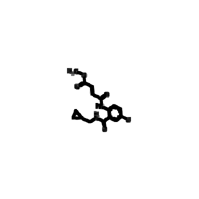 COC(=O)/C=C/C(=O)Nc1ccc(Cl)cc1C(=O)NCC1CC1